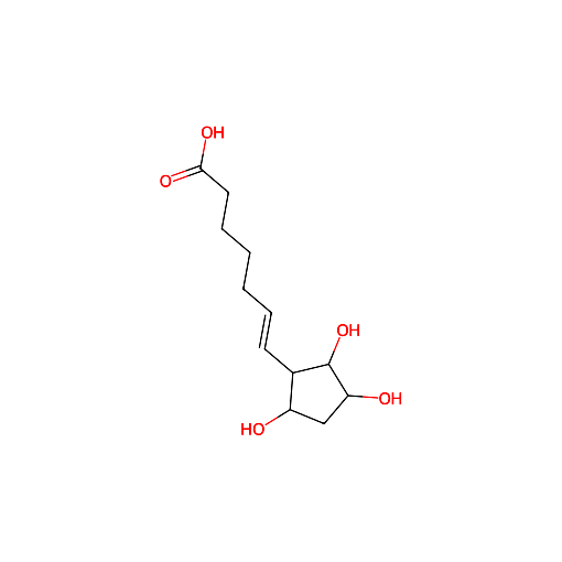 O=C(O)CCCCC=CC1C(O)CC(O)C1O